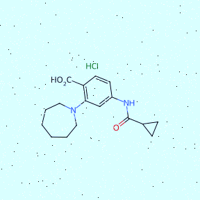 Cl.O=C(O)c1ccc(NC(=O)C2CC2)cc1N1CCCCCC1